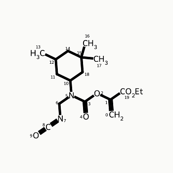 C=C(OC(=O)N(CN=C=O)C1CC(C)CC(C)(C)C1)C(=O)OCC